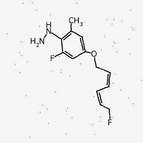 Cc1cc(OC/C=C\C=C/CF)cc(F)c1NN